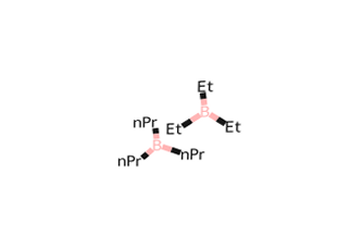 CCB(CC)CC.CCCB(CCC)CCC